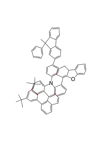 CC(C)(C)c1cc(-c2cccc3cccc(-c4ccccc4N(c4ccc(-c5ccc6c(c5)C(C)(c5ccccc5)c5ccccc5-6)cc4)c4ccccc4C4=C5Oc6ccccc6C5CC=C4)c23)cc(C(C)(C)C)c1